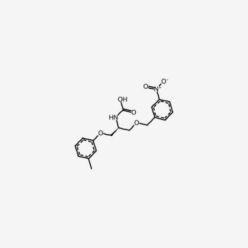 Cc1cccc(OC[C@H](COCc2cccc([N+](=O)[O-])c2)NC(=O)O)c1